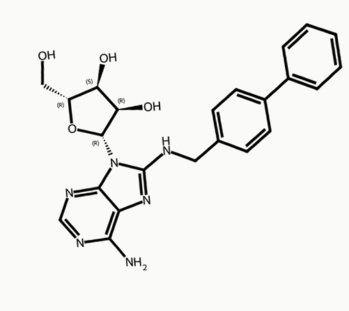 Nc1ncnc2c1nc(NCc1ccc(-c3ccccc3)cc1)n2[C@@H]1O[C@H](CO)[C@@H](O)[C@H]1O